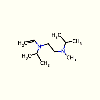 C=CN(CCN(C)C(C)C)C(C)C